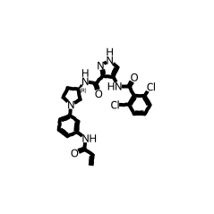 C=CC(=O)Nc1cccc(N2CC[C@@H](NC(=O)c3n[nH]cc3NC(=O)c3c(Cl)cccc3Cl)C2)c1